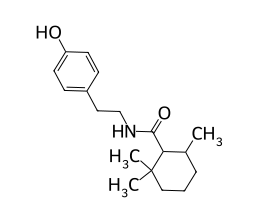 CC1CCCC(C)(C)C1C(=O)NCCc1ccc(O)cc1